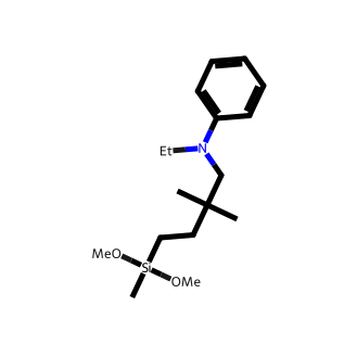 CCN(CC(C)(C)CC[Si](C)(OC)OC)c1ccccc1